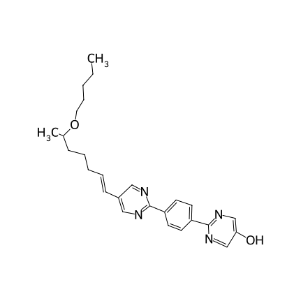 CCCCCOC(C)CCCC=Cc1cnc(-c2ccc(-c3ncc(O)cn3)cc2)nc1